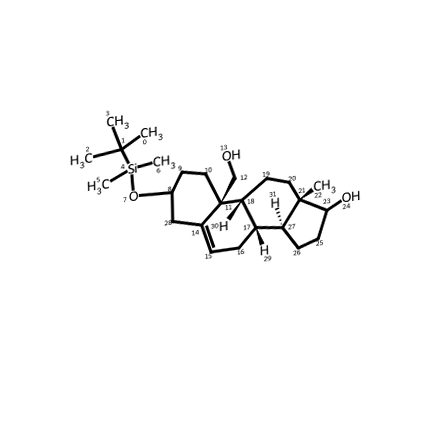 CC(C)(C)[Si](C)(C)OC1CC[C@@]2(CO)C(=CC[C@@H]3[C@H]2CC[C@]2(C)C(O)CC[C@@H]32)C1